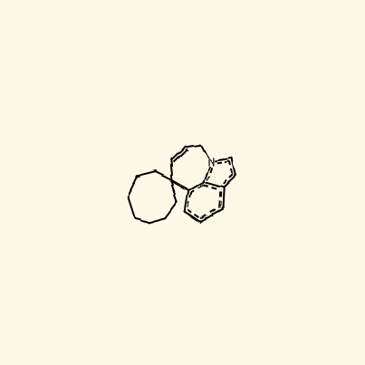 C1=CC2(CCCCCCC2)c2cccc3ccn(c23)C1